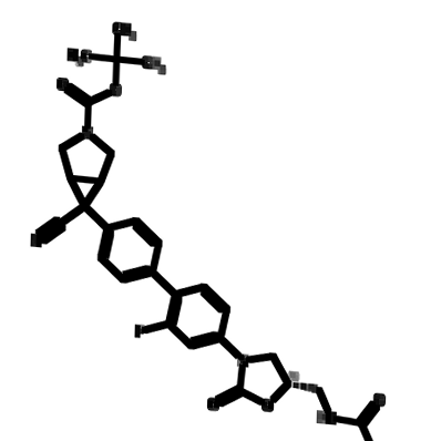 CC(=O)NC[C@H]1CN(c2ccc(-c3ccc(C4(C#N)C5CN(C(=O)OC(C)(C)C)CC54)cc3)c(F)c2)C(=O)O1